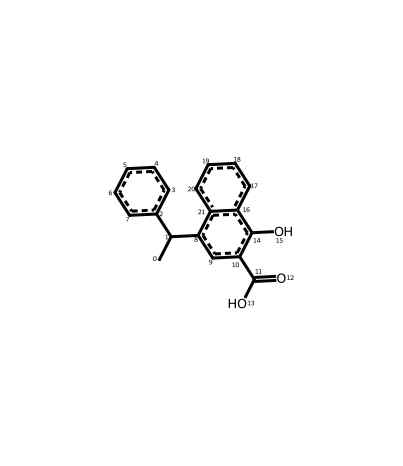 CC(c1ccccc1)c1cc(C(=O)O)c(O)c2ccccc12